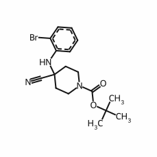 CC(C)(C)OC(=O)N1CCC(C#N)(Nc2ccccc2Br)CC1